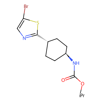 CC(C)OC(=O)N[C@H]1CC[C@H](c2ncc(Br)s2)CC1